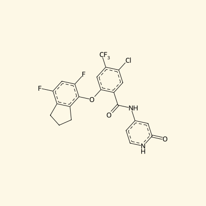 O=C(Nc1cc[nH]c(=O)c1)c1cc(Cl)c(C(F)(F)F)cc1Oc1c(F)cc(F)c2c1CCC2